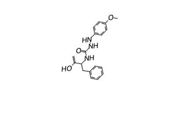 C=C(O)C(Cc1ccccc1)NC(=O)NNc1ccc(OC)cc1